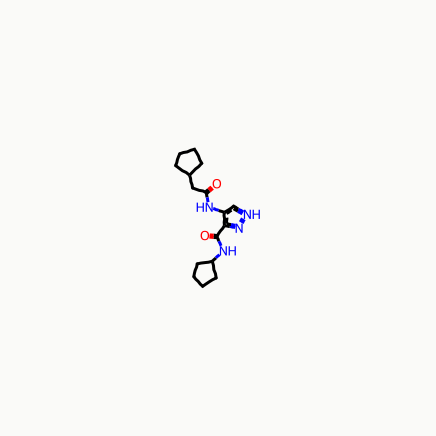 O=C(CC1CCCC1)Nc1c[nH]nc1C(=O)NC1CCCC1